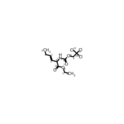 CC/C=C/C(NC(=O)OCC(Cl)(Cl)Cl)C(=O)OCC